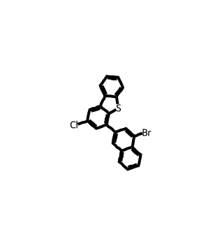 Clc1cc(-c2cc(Br)c3ccccc3c2)c2sc3ccccc3c2c1